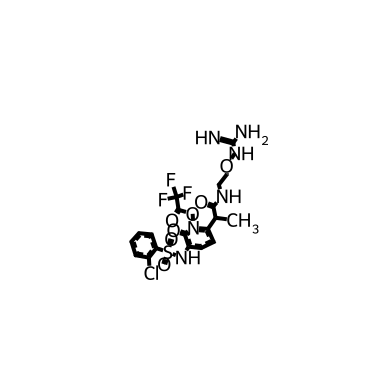 CC(C(=O)NCCONC(=N)N)c1ccc(NS(=O)(=O)c2ccccc2Cl)c(=O)n1OC(=O)C(F)(F)F